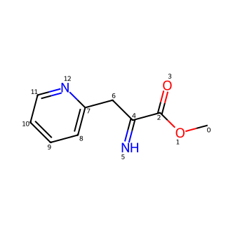 COC(=O)C(=N)Cc1ccccn1